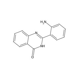 Nc1ccccc1-c1nc2ccccc2c(=O)[nH]1